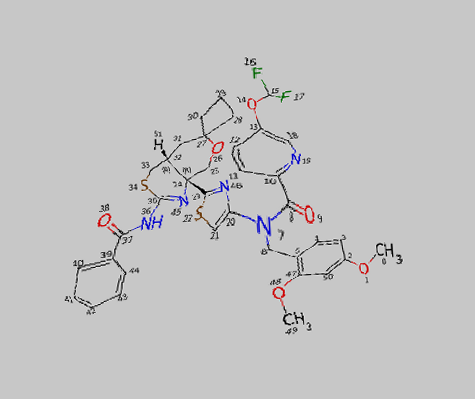 COc1ccc(CN(C(=O)c2ccc(OC(F)F)cn2)c2csc([C@]34COC5(CCC5)C[C@H]3CSC(NC(=O)c3ccccc3)=N4)n2)c(OC)c1